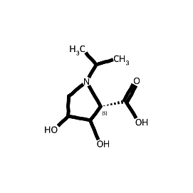 CC(C)N1CC(O)C(O)[C@H]1C(=O)O